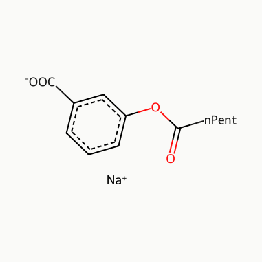 CCCCCC(=O)Oc1cccc(C(=O)[O-])c1.[Na+]